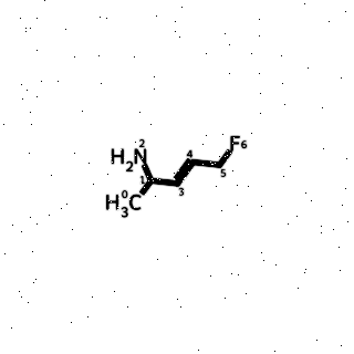 CC(N)C=CCF